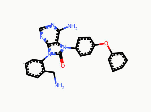 NCc1cc[c]cc1-n1c(=O)n(-c2ccc(Oc3ccccc3)cc2)c2c(N)ncnc21